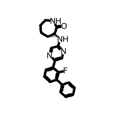 O=C1NCCCC[C@@H]1Nc1cnc(-c2cccc(-c3ccccc3)c2F)cn1